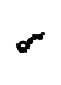 COc1cccc(C(C)(C)C(=O)NCc2ccc(-c3cnc4nc3NCCCNS(=O)(=O)c3cccc(c3)N4)cc2)c1